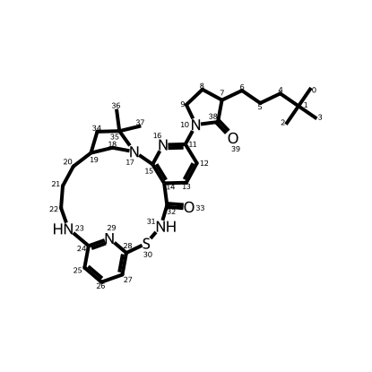 CC(C)(C)CCCC1CCN(c2ccc3c(n2)N2CC(CCCNc4cccc(n4)SNC3=O)CC2(C)C)C1=O